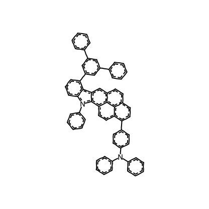 c1ccc(-c2cc(-c3ccccc3)cc(-c3cccc4c3c3cc5ccc6ccc(-c7ccc(N(c8ccccc8)c8ccccc8)cc7)c7ccc(c5c67)c3n4-c3ccccc3)c2)cc1